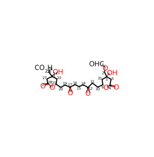 O=COCC1(O)CC(=O)OC(CCC(=O)CCCC(=O)CCC2CC(O)(CC(=O)O)CC(=O)O2)C1